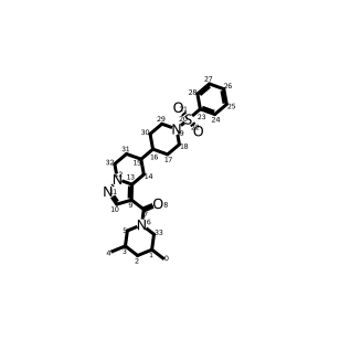 CC1CC(C)CN(C(=O)c2cnn3c2CC(C2CCN(S(=O)(=O)c4ccccc4)CC2)CC3)C1